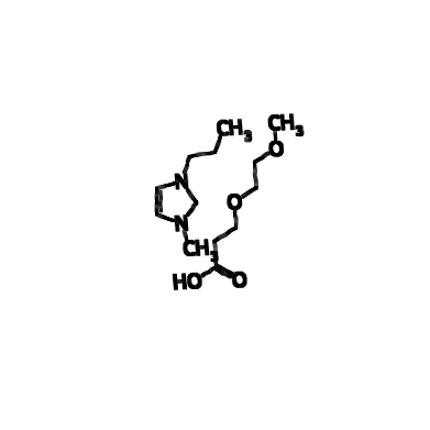 CCCN1C=CN(C)C1.COCCOCCC(=O)O